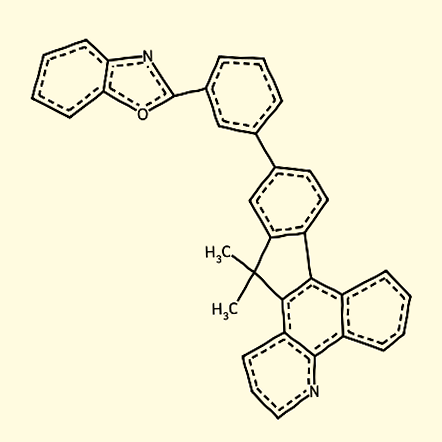 CC1(C)c2cc(-c3cccc(-c4nc5ccccc5o4)c3)ccc2-c2c1c1cccnc1c1ccccc21